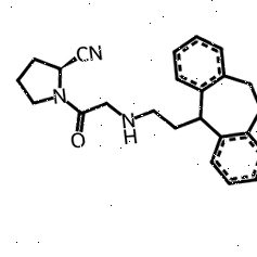 N#C[C@@H]1CCCN1C(=O)CNCCC1c2ccccc2CCc2ccccc21